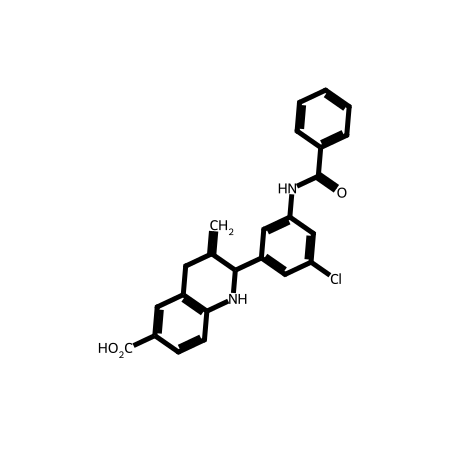 C=C1Cc2cc(C(=O)O)ccc2NC1c1cc(Cl)cc(NC(=O)c2ccccc2)c1